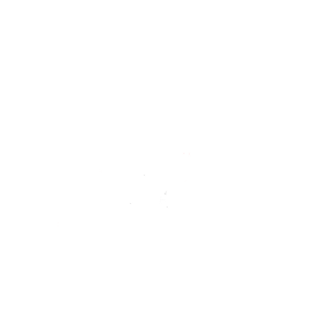 CCCCC(OC(CCC)C1CCO1)C(CCCC)([SiH2]OCC)C1CCO1